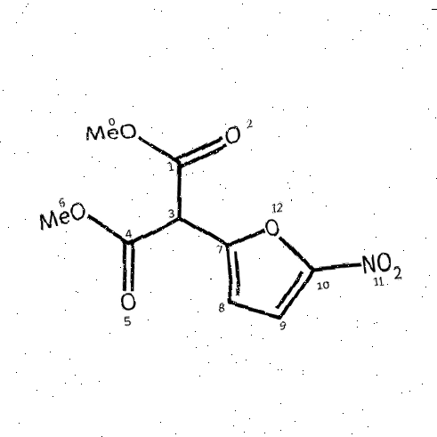 COC(=O)C(C(=O)OC)c1ccc([N+](=O)[O-])o1